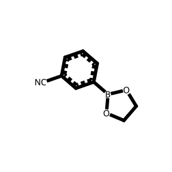 N#Cc1cccc(B2OCCO2)c1